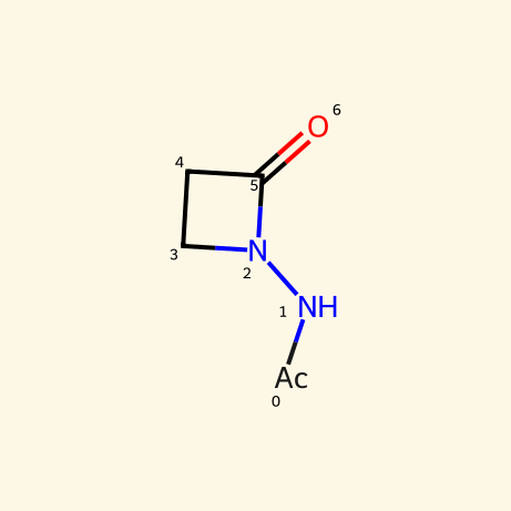 CC(=O)NN1CCC1=O